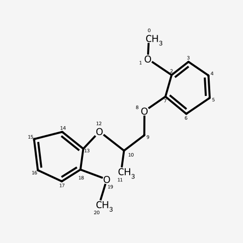 COc1ccccc1OCC(C)Oc1ccccc1OC